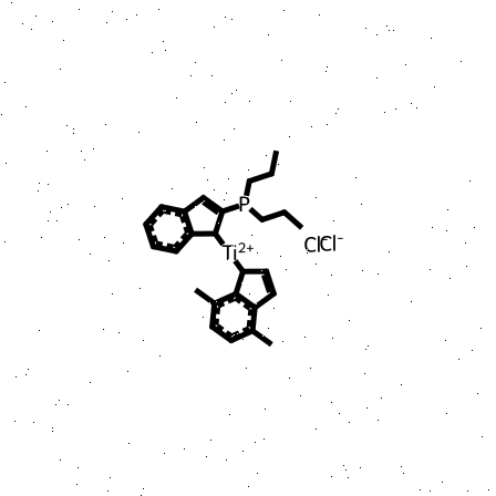 CCCP(CCC)C1=Cc2ccccc2[CH]1[Ti+2][CH]1C=Cc2c(C)ccc(C)c21.[Cl-].[Cl-]